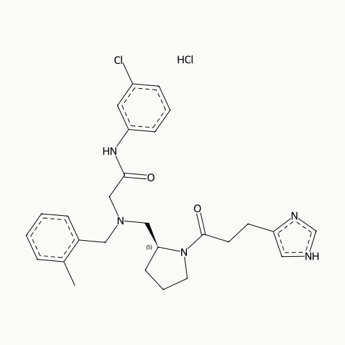 Cc1ccccc1CN(CC(=O)Nc1cccc(Cl)c1)C[C@@H]1CCCN1C(=O)CCc1c[nH]cn1.Cl